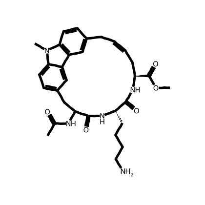 COC(=O)[C@@H]1CC=CCc2ccc3c(c2)c2cc(ccc2n3C)CC(NC(C)=O)C(=O)N[C@@H](CCCCN)C(=O)N1